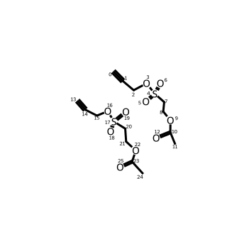 C#CCOS(=O)(=O)CCOC(C)=O.C#CCOS(=O)(=O)CCOC(C)=O